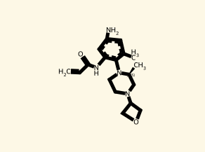 C=CC(=O)Nc1cc(N)cc(C)c1N1CCN(C2COC2)C[C@@H]1C